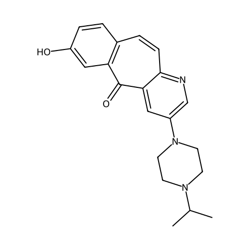 CC(C)N1CCN(c2cnc3ccc4ccc(O)cc4c(=O)c3c2)CC1